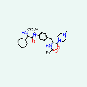 CCC(=O)NC(Cc1ccc(NC(=O)C(NC(=O)O)C2CCCCCC2)cc1)C(=O)N1CCN(C)CC1